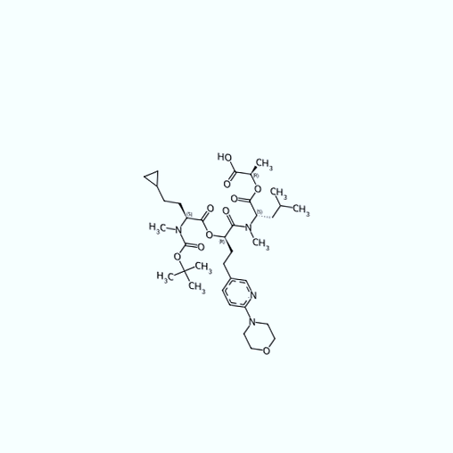 CC(C)C[C@@H](C(=O)O[C@H](C)C(=O)O)N(C)C(=O)[C@@H](CCc1ccc(N2CCOCC2)nc1)OC(=O)[C@H](CCC1CC1)N(C)C(=O)OC(C)(C)C